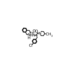 CC1CCN(C(=O)[C@@H](Cc2ccc(Cl)cc2)NC(=O)[C@H]2Cc3ccccc3CN2)CC1